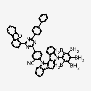 Bc1c(B)c(B)c(-n2c3ccccc3c3c2ccc2c4ccccc4n(-c4ccc(-c5nc(-c6ccc(-c7ccccc7)cc6)nc(-c6cccc7c6oc6ccccc67)n5)cc4C#N)c23)c(B)c1B